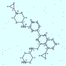 c1cc(-c2nc(CNC3CCNCC3)c3c(C4CC4)cncc3n2)cc(NC2CCN(C3CC3)CC2)n1